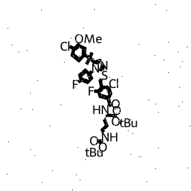 COc1cc(C(C)(C)c2cnc(SCc3c(F)cc(C(=O)N[C@@H](CCCNC(=O)OC(C)(C)C)C(=O)OC(C)(C)C)cc3Cl)n2-c2ccc(F)cc2)ccc1Cl